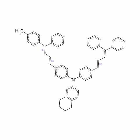 Cc1ccc(/C(=C/C=C/c2ccc(N(c3ccc(/C=C/C=C(c4ccccc4)c4ccccc4)cc3)c3ccc4c(c3)CCCC4)cc2)c2ccccc2)cc1